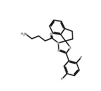 NCCCC(=O)N1N=C(c2cc(F)ccc2F)SC12CCc1ccccc12